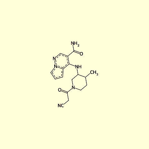 CC1CCN(C(=O)CC#N)CC1Nc1c(C(N)=O)cnn2cccc12